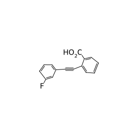 O=C(O)c1ccccc1C#Cc1cccc(F)c1